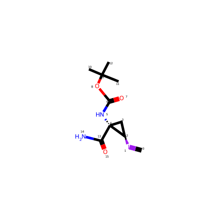 C=I[C@@H]1C[C@]1(NC(=O)OC(C)(C)C)C(N)=O